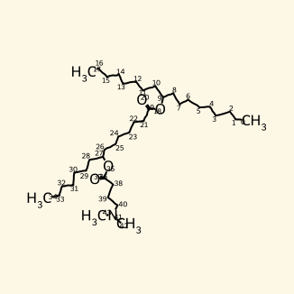 CCCCCCCCCC(CCCCCCCC)OC(=O)CCCCCCC(CCCCCCC)OC(=O)CCCN(C)C